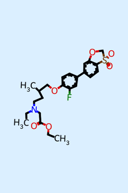 CCOC(=O)CN(CC)CCC(C)COc1ccc(-c2ccc3c(c2)OCS3(=O)=O)cc1F